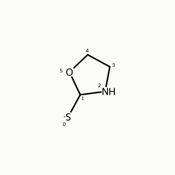 [S]C1NCCO1